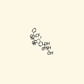 O=C(NCCO)C(O)c1ccc2c(c1)CCc1c-2noc1-c1noc(-c2ccccc2)c1C(F)(F)F